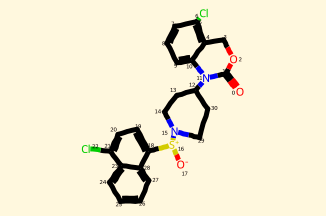 O=C1OCc2c(Cl)cccc2N1C1CCN([S+]([O-])c2ccc(Cl)c3ccccc23)CC1